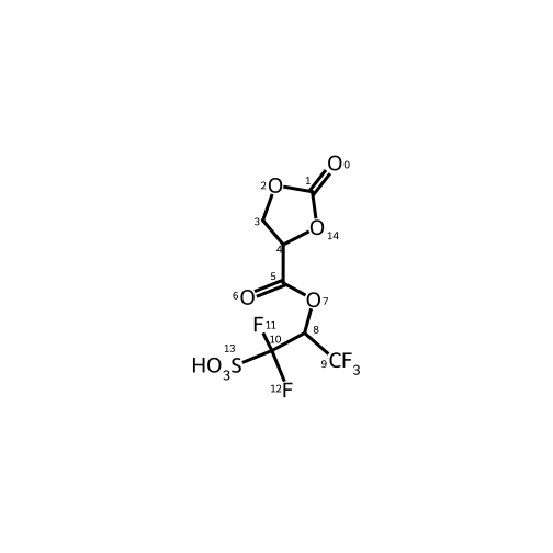 O=C1OCC(C(=O)OC(C(F)(F)F)C(F)(F)S(=O)(=O)O)O1